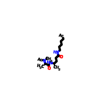 CC(=O)CCCCCNC(=O)CC[C@H](C)NC(=O)[C@H](C)N(C)C(C)=O